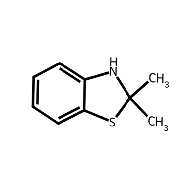 CC1(C)Nc2ccccc2S1